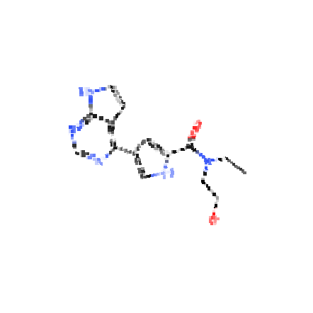 CCN(CCO)C(=O)c1cc(-c2ncnc3[nH]ccc23)c[nH]1